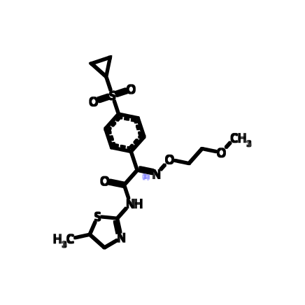 COCCO/N=C(/C(=O)NC1=NCC(C)S1)c1ccc(S(=O)(=O)C2CC2)cc1